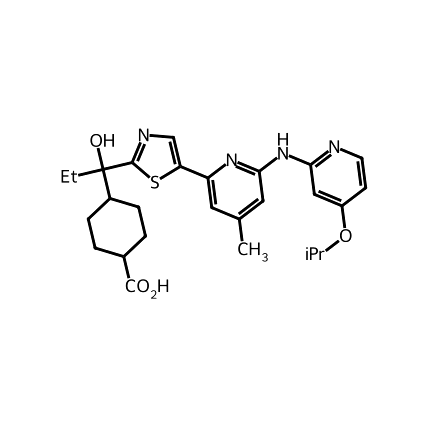 CCC(O)(c1ncc(-c2cc(C)cc(Nc3cc(OC(C)C)ccn3)n2)s1)C1CCC(C(=O)O)CC1